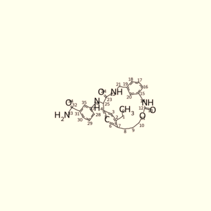 CCc1cc2ccc1CCCOC(=O)Nc1cccc(c1)CNC(=O)C2Nc1cccc(C(N)=O)c1